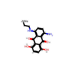 CNCCNc1ccc(N)c2c1C(=O)c1c(O)ccc(O)c1C2=O